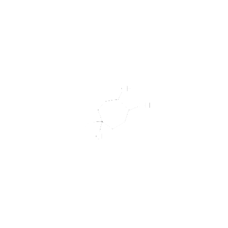 CC1CCC(C)(C)CCC1O